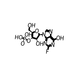 O=P(O)(O)O[C@H]1[C@@H](O)[C@H](n2cnc3c(O)nc(F)nc32)O[C@@H]1CO